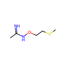 CSCCONC(C)=N